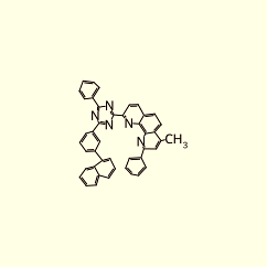 Cc1cc(-c2ccccc2)nc2c1ccc1ccc(-c3nc(-c4ccccc4)nc(-c4cccc(-c5cccc6ccccc56)c4)n3)nc12